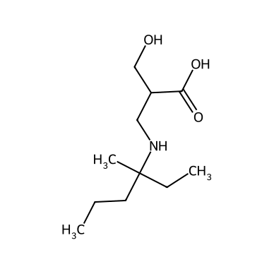 CCCC(C)(CC)NCC(CO)C(=O)O